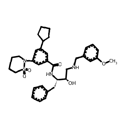 COc1cccc(CNC[C@@H](O)[C@H](Cc2ccccc2)NC(=O)c2cc(C3CCCC3)cc(N3CCCCS3(=O)=O)c2)c1